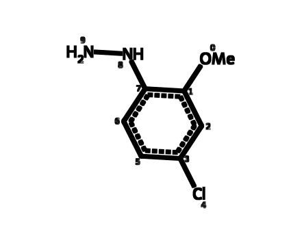 COc1cc(Cl)ccc1NN